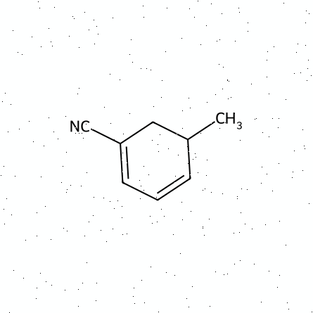 CC1C=CC=C(C#N)C1